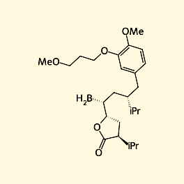 B[C@H](C[C@H](Cc1ccc(OC)c(OCCCOC)c1)C(C)C)[C@@H]1C[C@@H](C(C)C)C(=O)O1